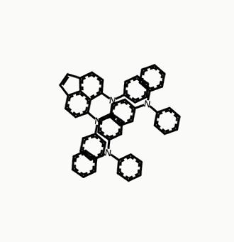 C1=Cc2ccc(N(c3ccccc3)c3ccc(N(c4ccccc4)c4ccccc4)cc3)c3c(N(c4ccccc4)c4ccc(N(c5ccccc5)c5ccccc5)cc4)ccc1c23